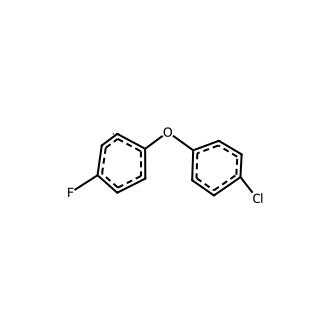 Fc1c[c]c(Oc2ccc(Cl)cc2)cc1